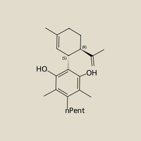 C=C(C)[C@@H]1CCC(C)=C[C@H]1c1c(O)c(C)c(CCCCC)c(C)c1O